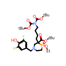 CCOP1(=O)CCN(Cc2cc(F)c(O)c(F)c2)CC1(CCCCN(C(=O)OC(C)(C)C)C(=O)OC(C)(C)C)C(=O)OC(C)(C)C